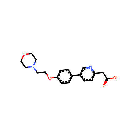 O=C(O)Cc1ccc(-c2ccc(OCCN3CCOCC3)cc2)cn1